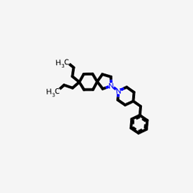 CCCC1(CCC)CCC2(CCN(N3CCC(Cc4ccccc4)CC3)C2)CC1